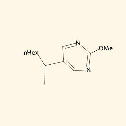 CCCCCCC(C)c1cnc(OC)nc1